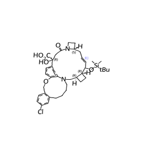 CC(C)(C)[Si](C)(C)OC1/C=C/C[C@H]2CCN2C(=O)C[C@](O)(C(=O)O)c2ccc3c(c2)N(CCCCc2cc(Cl)ccc2CO3)C[C@@H]2CC[C@@H]12